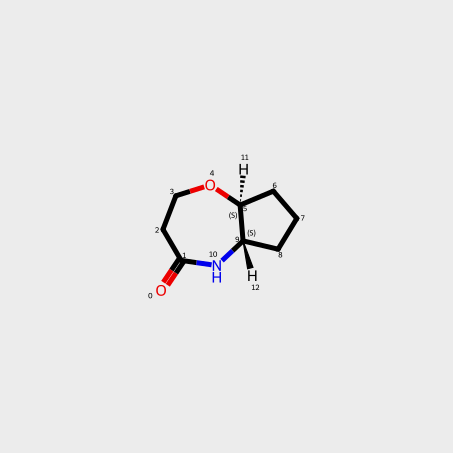 O=C1CCO[C@H]2CCC[C@@H]2N1